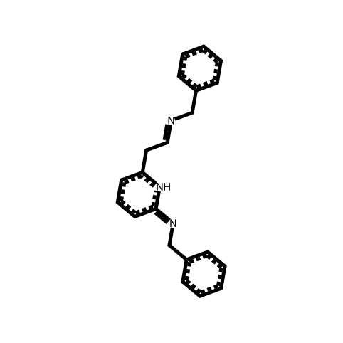 C(Cc1cccc(=NCc2ccccc2)[nH]1)=NCc1ccccc1